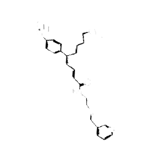 CCCCC/C(=C\C=C\C(=O)NCCSCc1cccnc1)c1ccc(OC)cc1